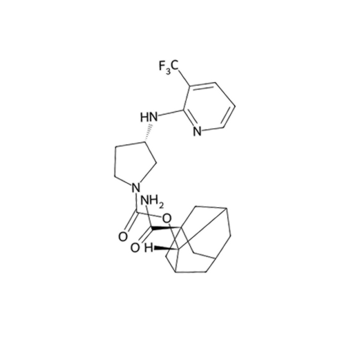 NC(=O)[C@]12CC3CC(C1)[C@@H](OC(=O)N1CC[C@H](Nc4ncccc4C(F)(F)F)C1)C(C3)C2